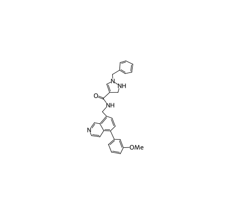 COc1cccc(-c2ccc(CNC(=O)C3=CN(Cc4ccccc4)NC3)c3cnccc23)c1